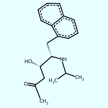 CC(=O)C[C@H](O)[C@H](Cc1cccc2ccccc12)NC(C)C